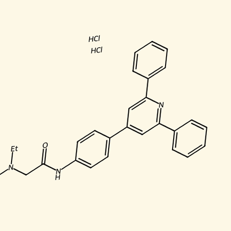 CCN(CC)CC(=O)Nc1ccc(-c2cc(-c3ccccc3)nc(-c3ccccc3)c2)cc1.Cl.Cl